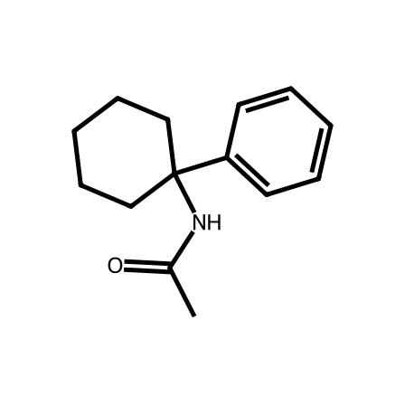 CC(=O)NC1(c2ccccc2)CCCCC1